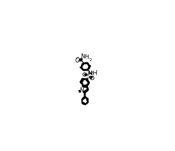 Cn1c(-c2ccccc2)cc2cc(S(=O)(=O)N[C@H]3CC[C@H](C(N)=O)CC3)ccc21